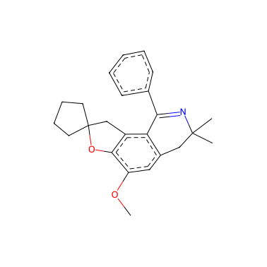 COc1cc2c(c3c1OC1(CCCC1)C3)C(c1ccccc1)=NC(C)(C)C2